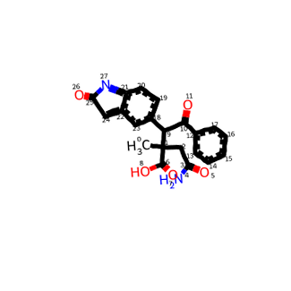 CC(CC(N)=O)(C(=O)O)C(C(=O)c1ccccc1)c1ccc2c(c1)=CC(=O)N=2